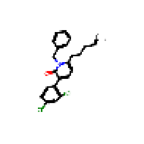 C=CCCCc1ccc(-c2ccc(Cl)cc2Cl)c(=O)n1Cc1ccccc1